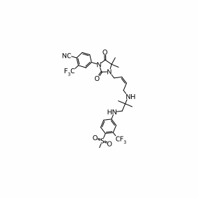 CC(C)(CNc1ccc(S(C)(=O)=O)c(C(F)(F)F)c1)NC/C=C\CN1C(=O)N(c2ccc(C#N)c(C(F)(F)F)c2)C(=O)C1(C)C